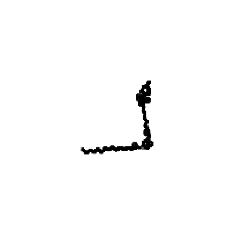 CCCCCCCCCCCCCCOC[C@H]1CO[C@H](COCCCCCCCOS(=O)(=O)c2ccc(C)cc2)C1